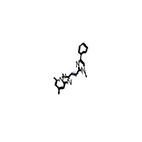 Cc1cc(C)n2nc(/C=C/c3nc(-c4ccccc4)cn3C)nc2c1